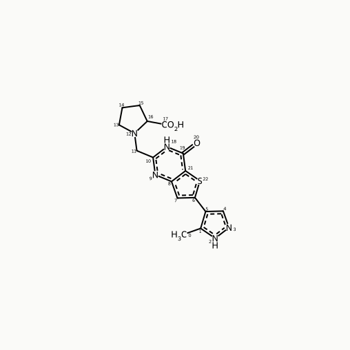 Cc1[nH]ncc1-c1cc2nc(CN3CCCC3C(=O)O)[nH]c(=O)c2s1